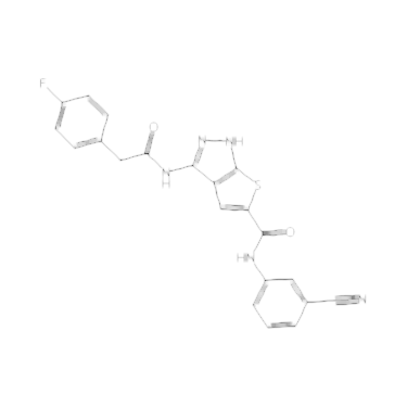 N#Cc1cccc(NC(=O)c2cc3c(NC(=O)Cc4ccc(F)cc4)n[nH]c3s2)c1